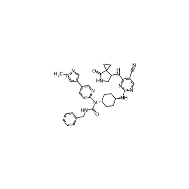 Cn1cc(-c2ccc(N(C(=O)NCc3ccccc3)[C@H]3CC[C@H](Nc4ncc(C#N)c(NC5CNC(=O)C56CC6)n4)CC3)nc2)cn1